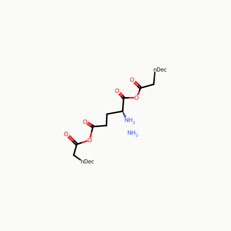 CCCCCCCCCCCC(=O)OC(=O)CC[C@H](N)C(=O)OC(=O)CCCCCCCCCCC.N